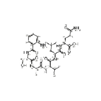 CC(C)C[C@H](NC(=O)[C@@H](NC(=O)[C@H](C)NC(=O)[C@H](CO)NC(=O)c1ccccc1N)C(C)C)C(=O)N[C@@H](CCC(N)=O)C(=O)O